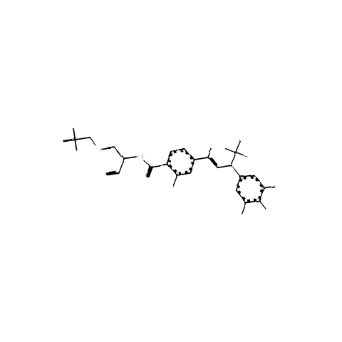 CC(F)(F)C(/C=C(\F)c1ccc(C(=O)NC(C=O)CNCC(F)(F)F)c(Br)c1)c1cc(Cl)c(Cl)c(Cl)c1